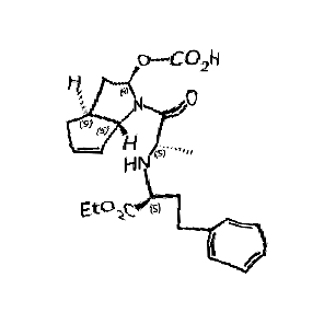 CCOC(=O)[C@H](CCc1ccccc1)N[C@@H](C)C(=O)N1[C@@H]2C=CC[C@H]2C[C@H]1OC(=O)O